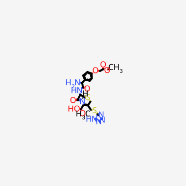 COC(=O)COc1ccc(C(N)C(=O)NC2C(=O)N3C(C(=O)O)=C(C(C)Sc4nnn[nH]4)CS[C@@H]23)cc1